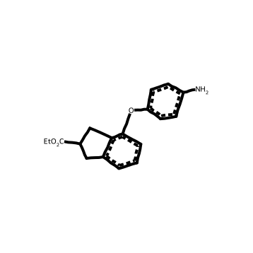 CCOC(=O)C1Cc2cccc(Oc3ccc(N)cc3)c2C1